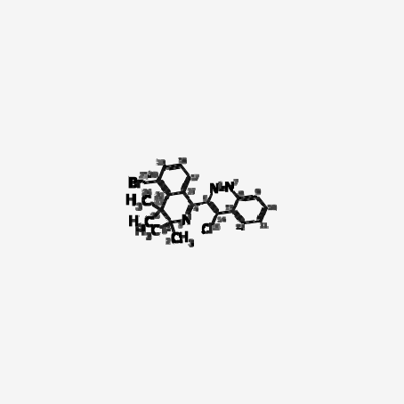 CC1(C)N=C(c2nnc3ccccc3c2Cl)c2cccc(Br)c2C1(C)C